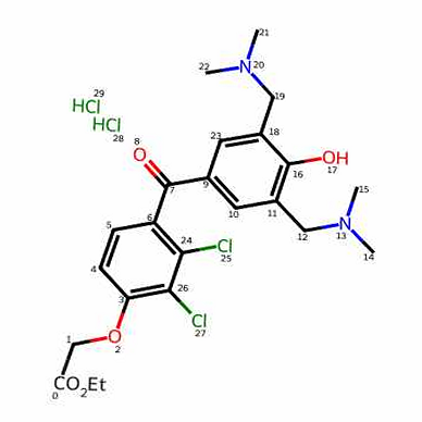 CCOC(=O)COc1ccc(C(=O)c2cc(CN(C)C)c(O)c(CN(C)C)c2)c(Cl)c1Cl.Cl.Cl